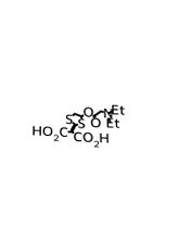 CCN(CC)CC(=O)OC1CSC(=C(C(=O)O)C(=O)O)S1